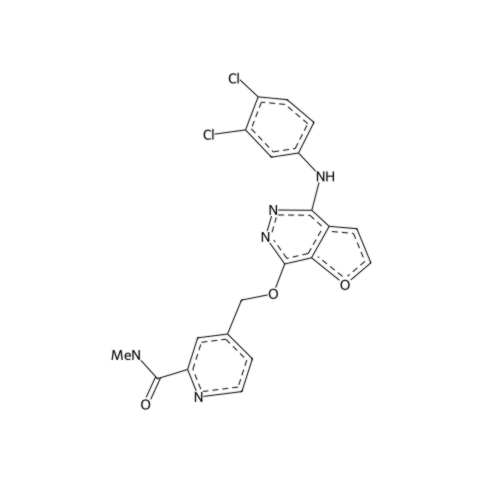 CNC(=O)c1cc(COc2nnc(Nc3ccc(Cl)c(Cl)c3)c3ccoc23)ccn1